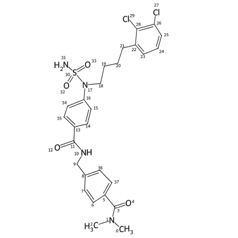 CN(C)C(=O)c1ccc(CNC(=O)c2ccc(N(CCCCc3cccc(Cl)c3Cl)S(N)(=O)=O)cc2)cc1